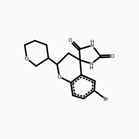 O=C1NC(=O)C2(CC(C3CCCOC3)Oc3ccc(Br)cc32)N1